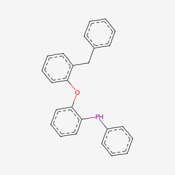 c1ccc(Cc2ccccc2Oc2ccccc2Pc2ccccc2)cc1